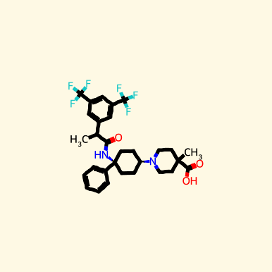 CC(C(=O)N[C@]1(c2ccccc2)CC[C@H](N2CCC(C)(C(=O)O)CC2)CC1)c1cc(C(F)(F)F)cc(C(F)(F)F)c1